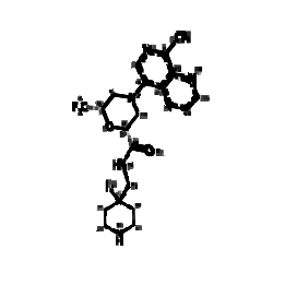 N#Cc1ncc(N2C[C@@H](C(F)(F)F)O[C@@H](C(=O)NCC3(F)CCNCC3)C2)c2cccnc12